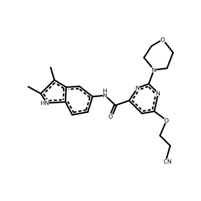 Cc1[nH]c2ccc(NC(=O)c3cc(OCCC#N)nc(N4CCOCC4)n3)cc2c1C